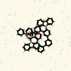 c1ccc(-c2cccc(-c3ccc(-n4c5ccccc5c5ccccc54)c(-c4cccc(-c5nc(-c6ccccc6)nc(-n6c7ccccc7c7cccc(-c8cccc9c8sc8ccccc89)c76)n5)c4)c3)c2)cc1